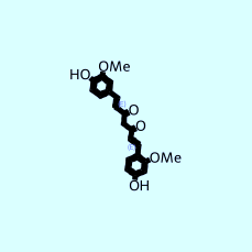 COc1cc(/C=C/C(=O)CC(=O)/C=C/c2ccc(O)cc2OC)ccc1O